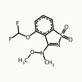 CON(C)C1=NS(=O)(=O)c2cccc(OC(F)F)c21